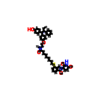 CC/C(=C(\c1ccc(O)cc1)c1ccc(OCCN(C)C(=O)CCCCCCCCSc2cccc3c2CN(C2CCC(=O)NC2=O)C3=O)cc1)c1ccccc1